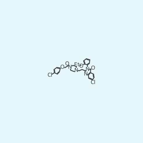 CCOc1ccccc1-n1c(CCN2CCN(C(=O)COc3ccc(Cl)cc3)CC2)nc2cc(Cl)ccc2c1=O